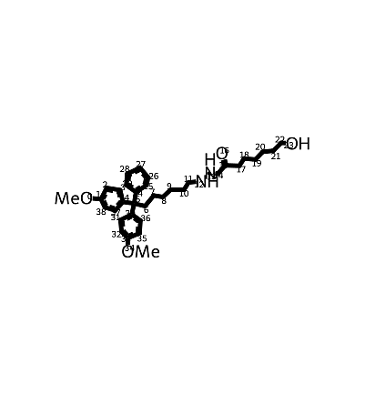 COc1ccc(C(CCCCCCNNCC(=O)CCCCCCO)(c2ccccc2)c2ccc(OC)cc2)cc1